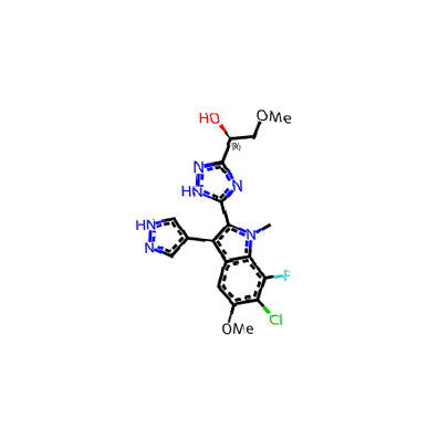 COC[C@H](O)c1n[nH]c(-c2c(-c3cn[nH]c3)c3cc(OC)c(Cl)c(F)c3n2C)n1